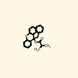 C=C(C)C(=O)OC1(Cc2ccccc2)c2ccccc2Sc2ccccc21